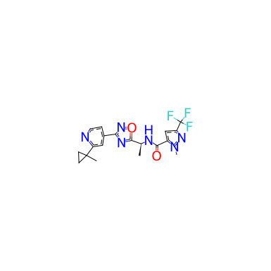 C[C@H](NC(=O)c1cc(C(F)(F)F)nn1C)c1nc(-c2ccnc(C3(C)CC3)c2)no1